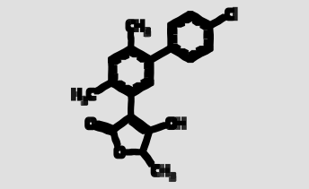 Cc1cc(C)c(-c2ccc(Cl)cc2)cc1C1=C(O)C(C)OC1=O